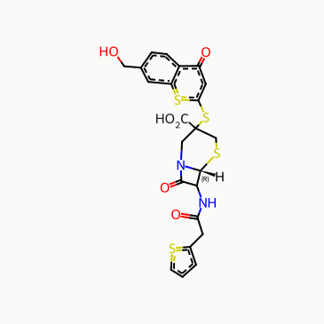 O=C(Cc1cccs1)NC1C(=O)N2CC(Sc3cc(=O)c4ccc(CO)cc4s3)(C(=O)O)CS[C@H]12